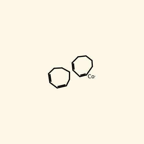 C1=C\CCCC\C=C/1.C1=C\CCCC\C=C/1.[Co]